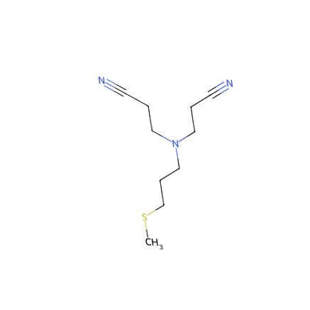 CSCCCN(CCC#N)CCC#N